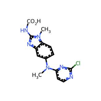 CN(c1ccc2c(c1)nc(NC(=O)O)n2C)c1ccnc(Cl)n1